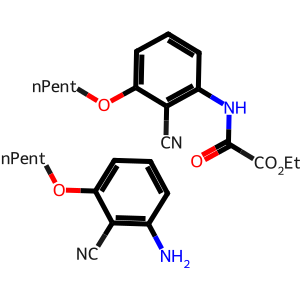 CCCCCOc1cccc(N)c1C#N.CCCCCOc1cccc(NC(=O)C(=O)OCC)c1C#N